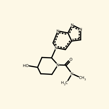 CN(C)C(=O)N1CCC(O)CC1n1cnc2nncc-2c1